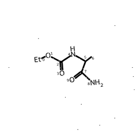 CCOC(=O)NC(C)C(N)=O